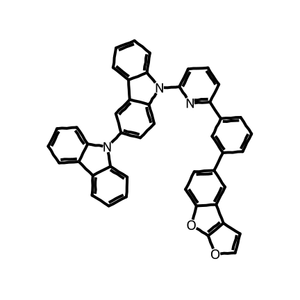 c1cc(-c2ccc3oc4occc4c3c2)cc(-c2cccc(-n3c4ccccc4c4cc(-n5c6ccccc6c6ccccc65)ccc43)n2)c1